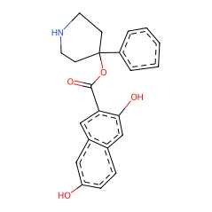 O=C(OC1(c2ccccc2)CCNCC1)c1cc2cc(O)ccc2cc1O